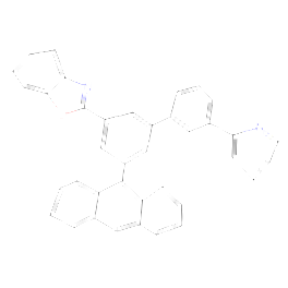 c1ccc(-c2cccc(-c3cc(-c4nc5ccccc5o4)cc(-c4c5ccccc5cc5ccccc45)c3)c2)nc1